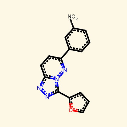 O=[N+]([O-])c1cccc(-c2ccc3nnc(-c4ccco4)n3n2)c1